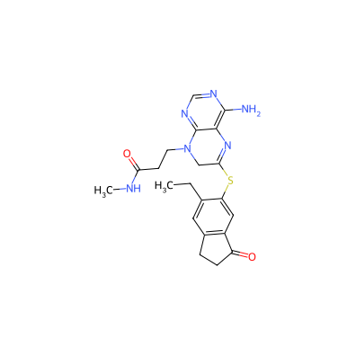 CCc1cc2c(cc1SC1=Nc3c(N)ncnc3N(CCC(=O)NC)C1)C(=O)CC2